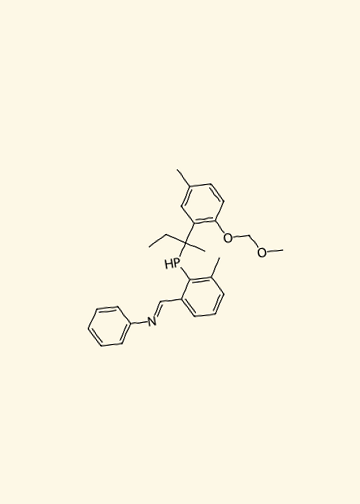 CCC(C)(Pc1c(C)cccc1/C=N/c1ccccc1)c1cc(C)ccc1OCOC